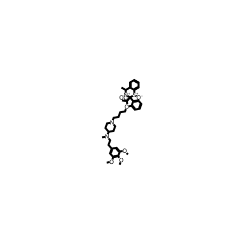 COc1cc(CCN(C)C2CCN(CCCCOc3ccccc3C3(C(C)C)[NH+]([O-])C(C)c4ccccc4[S+]3[O-])CC2)cc(OC)c1OC